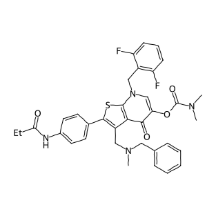 CCC(=O)Nc1ccc(-c2sc3c(c2CN(C)Cc2ccccc2)c(=O)c(OC(=O)N(C)C)cn3Cc2c(F)cccc2F)cc1